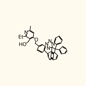 CCc1nc(C)cc(OCc2ccc(-c3ccccc3C3(C(c4ccccc4)(c4ccccc4)c4ccccc4)N=NN=N3)cc2)c1CO